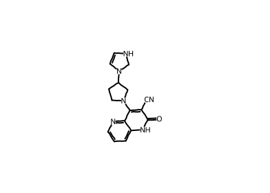 N#Cc1c(N2CCC(N3C=CNC3)C2)c2ncccc2[nH]c1=O